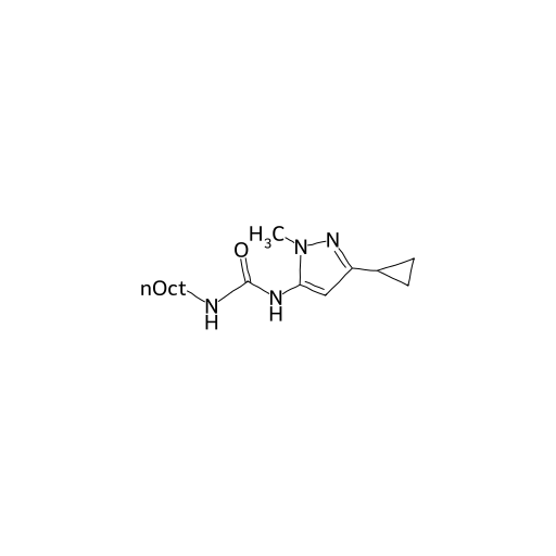 CCCCCCCCNC(=O)Nc1cc(C2CC2)nn1C